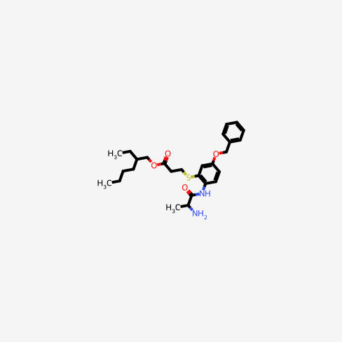 CCCCC(CC)COC(=O)CCSc1cc(OCc2ccccc2)ccc1NC(=O)C(C)N